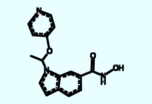 CC(Oc1ccncc1)n1ccc2ccc(C(=O)NO)cc21